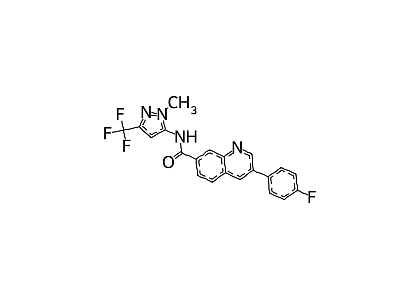 Cn1nc(C(F)(F)F)cc1NC(=O)c1ccc2cc(-c3ccc(F)cc3)cnc2c1